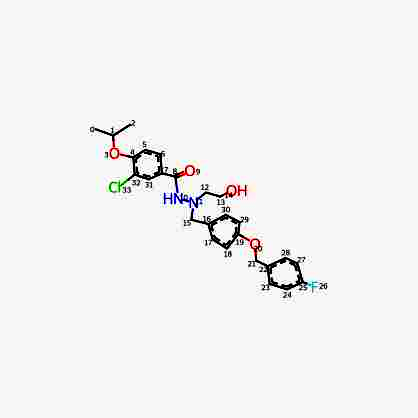 CC(C)Oc1ccc(C(=O)NN(CCO)Cc2ccc(OCc3ccc(F)cc3)cc2)cc1Cl